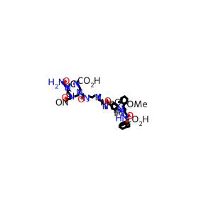 COC1=CCCC(OC)=C1c1cc(C(=O)NC2(C(=O)O)C3CC4CC(C3)CC2C4)nn1-c1ccc(C(=O)N(C)CCCN(C)CCCN(C)C(=O)CN2CCN(CC(=O)O)CCN(CC(N)=O)CCN(CC(=O)N=O)CC2)cc1C(C)C